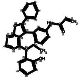 C=CC(=O)Nc1cccc(-c2c(-c3ccccc3)oc3ncnc(N(CC)c4ccccc4O)c23)c1